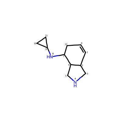 C1=CC2CNCC2C(NC2CC2)C1